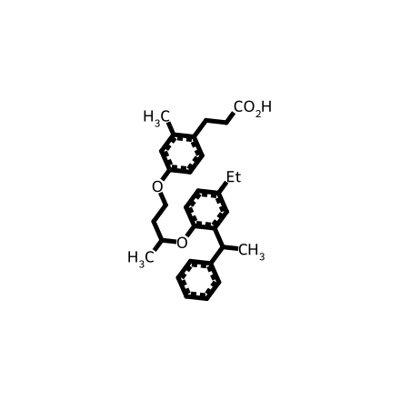 CCc1ccc(OC(C)CCOc2ccc(CCC(=O)O)c(C)c2)c(C(C)c2ccccc2)c1